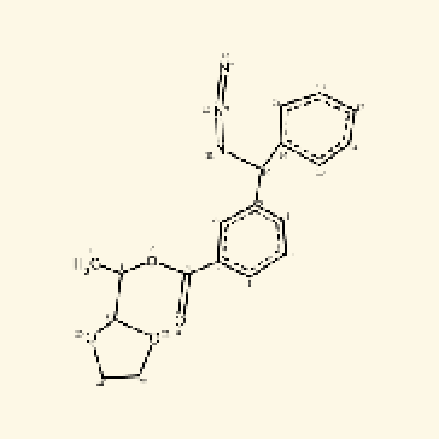 CC(OC(=O)c1cccc(C(N=[N+]=[N-])c2ccccc2)c1)C1OCCO1